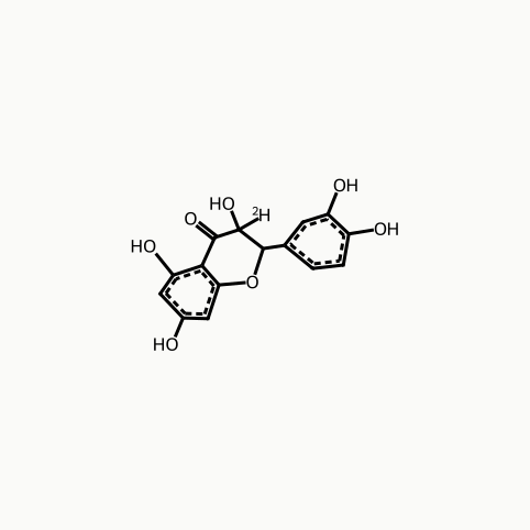 [2H]C1(O)C(=O)c2c(O)cc(O)cc2OC1c1ccc(O)c(O)c1